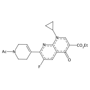 CCOC(=O)c1cn(C2CC2)c2nc(C3=CCN(C(C)=O)CC3)c(F)cc2c1=O